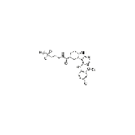 CCOc1cc(Cl)ccc1Nc1ncnc2[nH]c3c(c12)C[C@@H](C(=O)NCCCS(C)(=O)=O)CC3